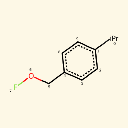 CC(C)c1ccc(COF)cc1